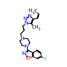 C/C=C\c1nnn(CCCN2CCN(c3noc4cc(F)ccc34)CC2)c1C